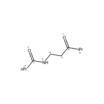 CCCC(=O)NCCC(=O)C(C)C